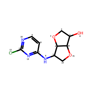 OC1COC2C(Nc3ccnc(Cl)n3)COC12